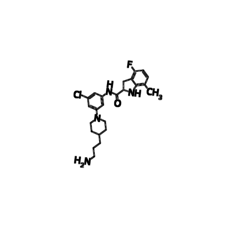 Cc1ccc(F)c2c1NC(C(=O)Nc1cc(Cl)cc(N3CCC(CCCN)CC3)c1)C2